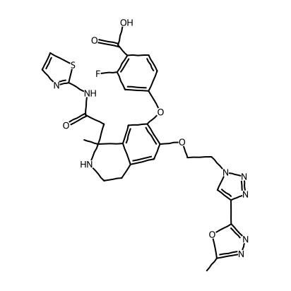 Cc1nnc(-c2cn(CCOc3cc4c(cc3Oc3ccc(C(=O)O)c(F)c3)C(C)(CC(=O)Nc3nccs3)NCC4)nn2)o1